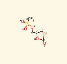 O=C1OCC(COS(=O)(=O)C(F)(F)F)O1